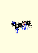 CCc1cccc(CC)c1NC(=O)Nc1cccc(-c2n[nH]cc2-c2ccncc2)c1